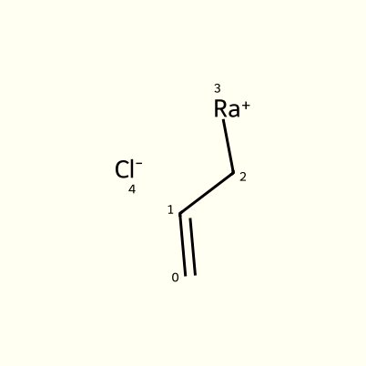 C=C[CH2][Ra+].[Cl-]